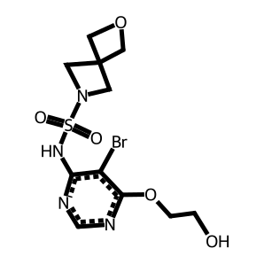 O=S(=O)(Nc1ncnc(OCCO)c1Br)N1CC2(COC2)C1